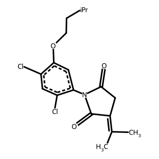 CC(C)=C1CC(=O)N(c2cc(OCCC(C)C)c(Cl)cc2Cl)C1=O